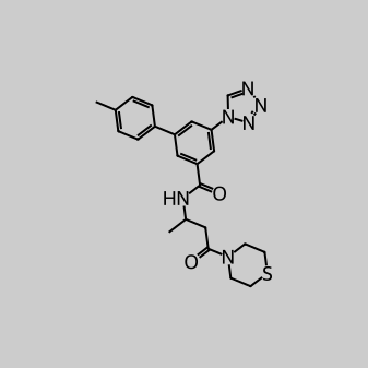 Cc1ccc(-c2cc(C(=O)NC(C)CC(=O)N3CCSCC3)cc(-n3cnnn3)c2)cc1